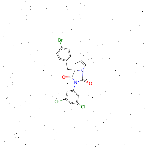 O=C1N(c2cc(Cl)cc(Cl)c2)C(=O)C2(Cc3ccc(Br)cc3)CC=CN12